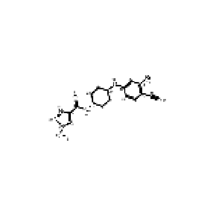 Cn1cc(C(=O)N[C@H]2CC[C@H](Oc3ccc(C#N)c(Br)c3)CC2)nn1